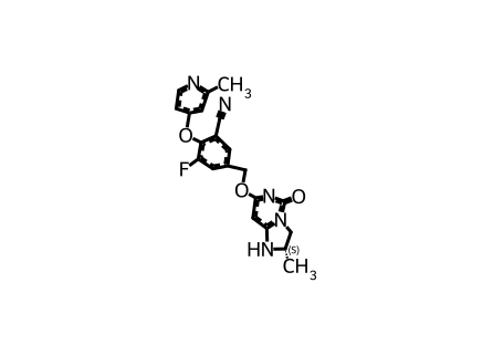 Cc1cc(Oc2c(F)cc(COc3cc4n(c(=O)n3)C[C@H](C)N4)cc2C#N)ccn1